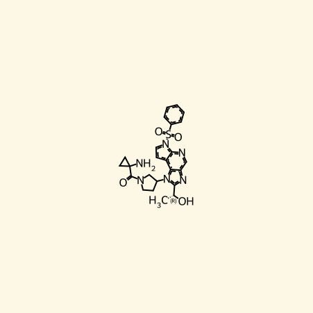 C[C@@H](O)c1nc2cnc3c(ccn3S(=O)(=O)c3ccccc3)c2n1C1CCN(C(=O)C2(N)CC2)C1